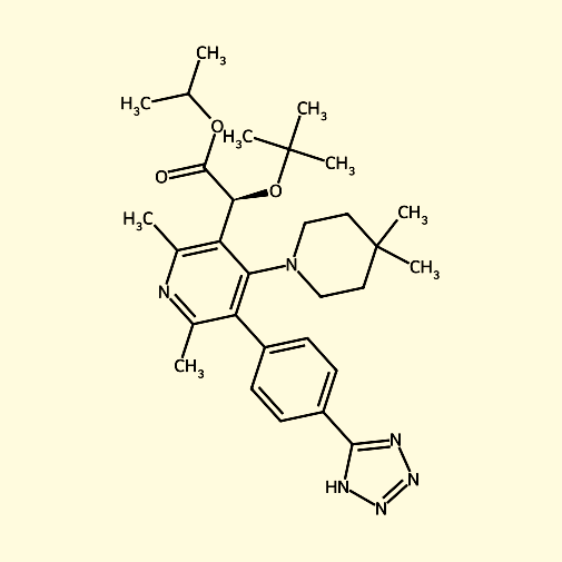 Cc1nc(C)c([C@H](OC(C)(C)C)C(=O)OC(C)C)c(N2CCC(C)(C)CC2)c1-c1ccc(-c2nnn[nH]2)cc1